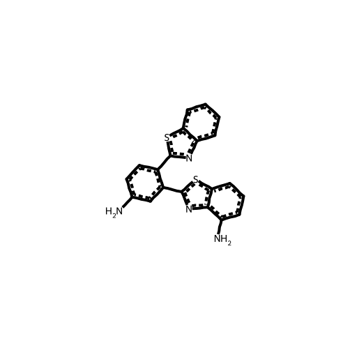 Nc1ccc(-c2nc3ccccc3s2)c(-c2nc3c(N)cccc3s2)c1